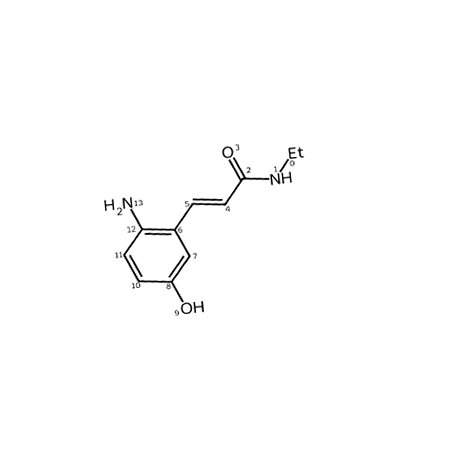 CCNC(=O)/C=C/c1cc(O)ccc1N